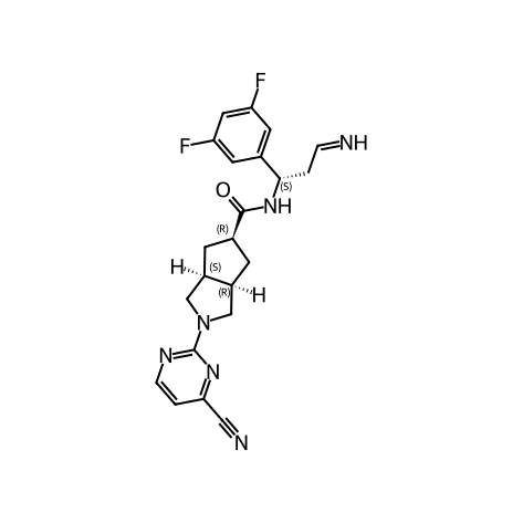 N#Cc1ccnc(N2C[C@H]3C[C@@H](C(=O)N[C@@H](CC=N)c4cc(F)cc(F)c4)C[C@H]3C2)n1